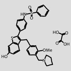 COc1cc(Cc2c(-c3ccc(NS(=O)(=O)c4ccccc4)cc3)sc3cc(O)ccc23)ccc1CN1CCCC1.O=C(O)C(=O)O